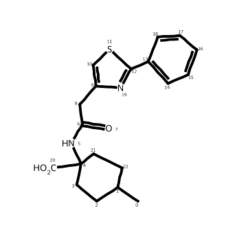 CC1CCC(NC(=O)Cc2csc(-c3ccccc3)n2)(C(=O)O)CC1